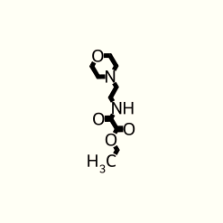 CCOC(=O)C(=O)NCCN1CCOCC1